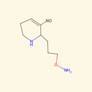 NOCCCC1NCCC=C1N=O